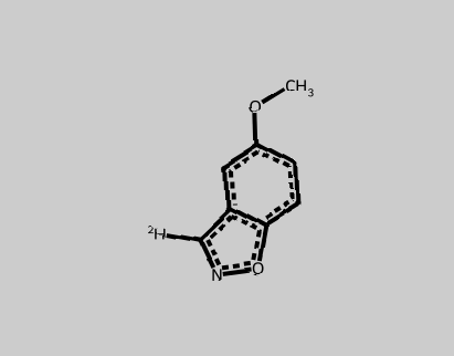 [2H]c1noc2ccc(OC)cc12